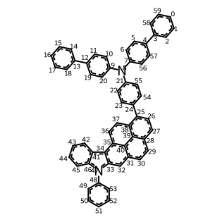 c1ccc(-c2ccc(N(c3ccc(-c4ccccc4)cc3)c3ccc(-c4ccc5ccc6cc7c(c8ccc4c5c68)c4ccccc4n7-c4ccccc4)cc3)cc2)cc1